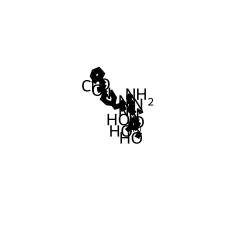 Nc1nc(CC2CCN(C(=O)Oc3ccccc3Cl)CC2)nc2c1ncn2[C@@H]1O[C@H](CO)C(O)C1O